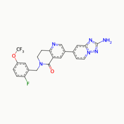 Nc1nc2cc(-c3cnc4c(c3)C(=O)N(Cc3cc(OC(F)(F)F)ccc3F)CC4)ccn2n1